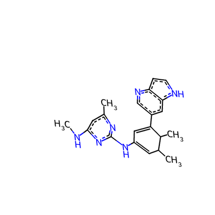 CNc1cc(C)nc(NC2=CC(C)C(C)C(c3cnc4cc[nH]c4c3)=C2)n1